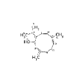 CC1=CC(O)C(C(C)C)CCC(C)=CCC1